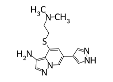 CN(C)CCSc1cc(-c2cn[nH]c2)cn2ncc(N)c12